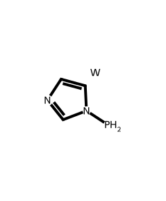 Pn1ccnc1.[W]